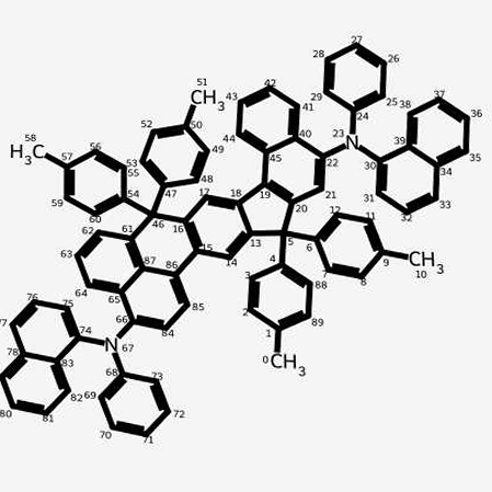 Cc1ccc(C2(c3ccc(C)cc3)c3cc4c(cc3-c3c2cc(N(c2ccccc2)c2cccc5ccccc25)c2ccccc32)C(c2ccc(C)cc2)(c2ccc(C)cc2)c2cccc3c(N(c5ccccc5)c5cccc6ccccc56)ccc-4c23)cc1